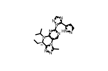 CC[C@@H]1c2nnc(C)n2-c2cnc(-n3ncnc3-c3ccn[nH]3)nc2N1C(C)C